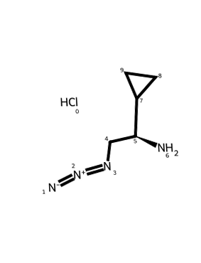 Cl.[N-]=[N+]=NC[C@H](N)C1CC1